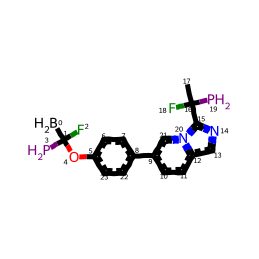 BC(F)(P)Oc1ccc(-c2ccc3cnc(C(C)(F)P)n3c2)cc1